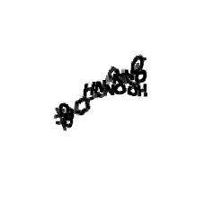 COC(=O)N[C@H](C(=O)N1CCC[C@H]1c1ncc(-c2ccc(B3OC(C)(C)C(C)(C)O3)cc2)[nH]1)[C@@H](C)O